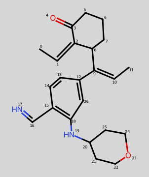 C/C=C1\C(=O)CCCC1/C(=C\C)c1ccc(C=N)c(NC2CCOCC2)c1